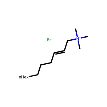 CCCCCCCCC/C=C/C[N+](C)(C)C.[Br-]